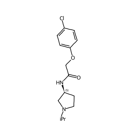 CC(C)N1CC[C@H](NC(=O)COc2ccc(Cl)cc2)C1